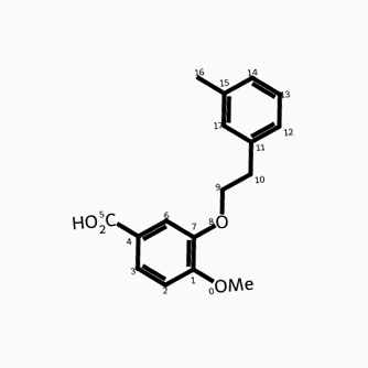 COc1ccc(C(=O)O)cc1OCCc1cccc(C)c1